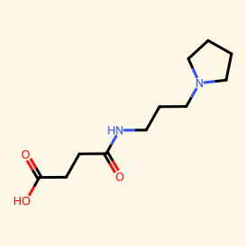 O=C(O)CCC(=O)NCCCN1CCCC1